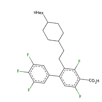 CCCCCCC1CCC(CCc2c(-c3cc(F)c(F)c(F)c3)cc(F)c(C(=O)O)c2F)CC1